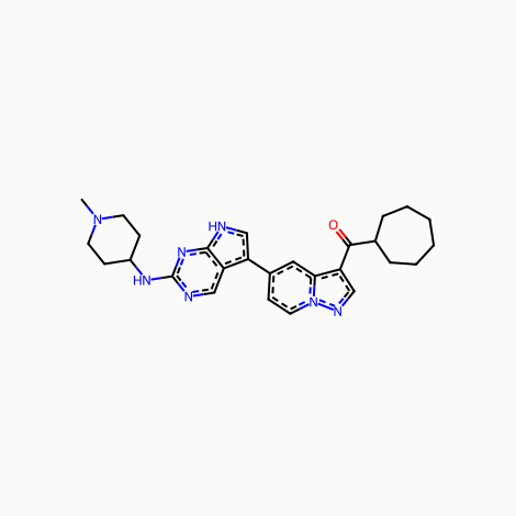 CN1CCC(Nc2ncc3c(-c4ccn5ncc(C(=O)C6CCCCCC6)c5c4)c[nH]c3n2)CC1